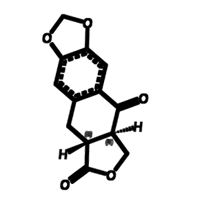 O=C1c2cc3c(cc2C[C@H]2C(=O)OC[C@H]12)OCO3